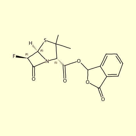 CC1(C)S[C@@H]2[C@H](F)C(=O)N2[C@H]1C(=O)OC1OC(=O)c2ccccc21